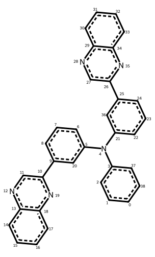 c1ccc(N(c2cccc(-c3cnc4ccccc4n3)c2)c2cccc(-c3cnc4ccccc4n3)c2)cc1